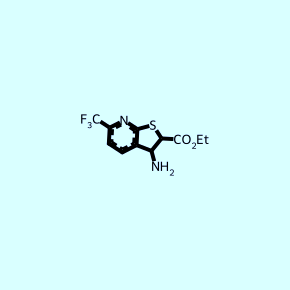 CCOC(=O)C1Sc2nc(C(F)(F)F)ccc2C1N